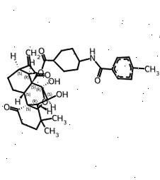 C=C1C(=O)[C@]23[C@H](OC(=O)C4CCC(NC(=O)c5ccc(C)cc5)CC4)[C@H]1CC[C@H]2[C@@]12CO[C@@]3(O)[C@@H](O)[C@@H]1C(C)(C)CCC2=O